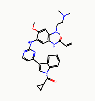 C=CC(=O)Nc1cc(Nc2nccc(-c3cn(C(=O)C4CC4)c4ccccc34)n2)c(OC)cc1N(C)CCN(C)C